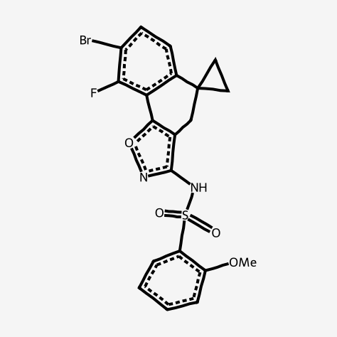 COc1ccccc1S(=O)(=O)Nc1noc2c1CC1(CC1)c1ccc(Br)c(F)c1-2